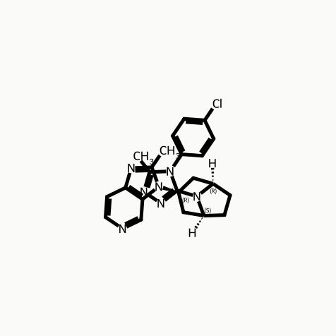 Cc1nnc(N2[C@@H]3CC[C@H]2C[C@@H](n2c(C)nc4ccncc42)C3)n1-c1ccc(Cl)cc1